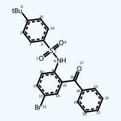 CC(C)(C)c1ccc(S(=O)(=O)Nc2ccc(Br)cc2C(=O)c2ccccc2)cc1